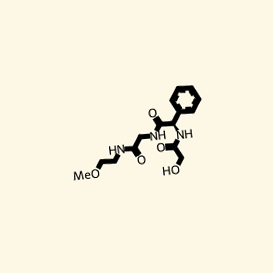 COCCNC(=O)CNC(=O)[C@H](NC(=O)CO)c1ccccc1